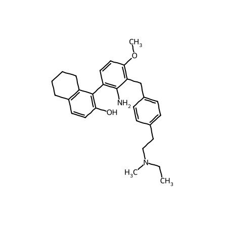 CCN(C)CCc1ccc(Cc2c(OC)ccc(-c3c(O)ccc4c3CCCC4)c2N)cc1